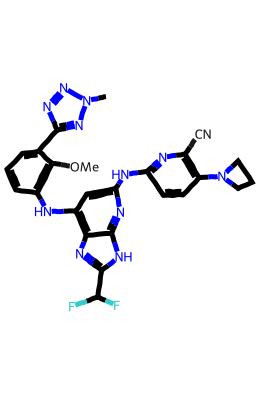 COc1c(Nc2cc(Nc3ccc(N4CCC4)c(C#N)n3)nc3[nH]c(C(F)F)nc23)cccc1-c1nnn(C)n1